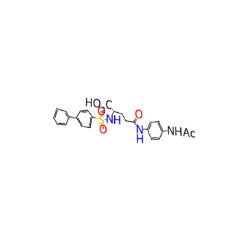 CC(=O)Nc1ccc(NC(=O)CC[C@H](NS(=O)(=O)c2ccc(-c3ccccc3)cc2)C(=O)O)cc1